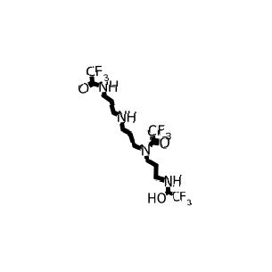 O=C(NCCCNCCCN(CCCNC(O)C(F)(F)F)C(=O)C(F)(F)F)C(F)(F)F